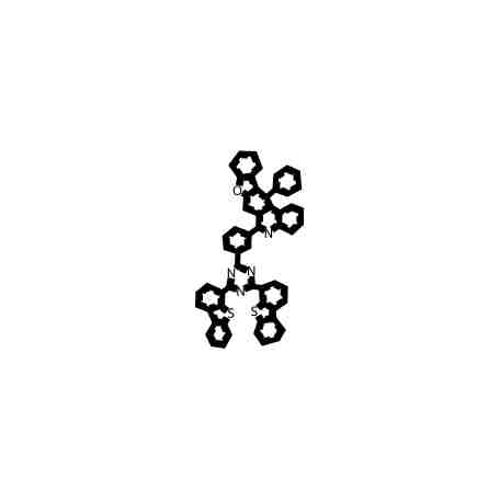 c1ccc(-c2c3c(cc4c(-c5cccc(-c6nc(-c7cccc8c7sc7ccccc78)nc(-c7cccc8c7sc7ccccc78)n6)c5)nc5ccccc5c24)oc2ccccc23)cc1